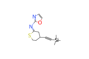 C[Si](C)(C)C#CC1CCSC(=Nc2ncco2)C1